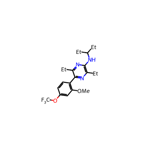 CCc1nc(-c2ccc(OC(F)(F)F)cc2OC)c(CC)nc1NC(CC)CC